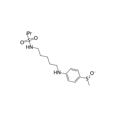 CC(C)S(=O)(=O)NCCCCCNc1ccc([S+](C)[O-])cc1